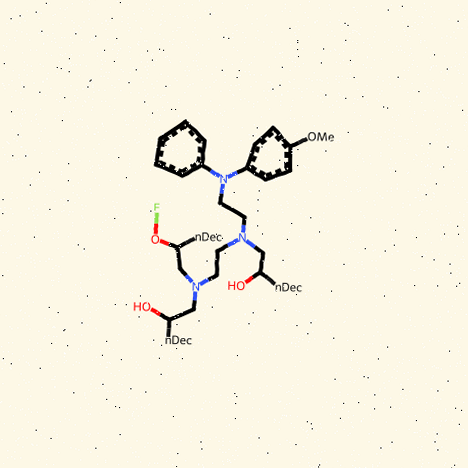 CCCCCCCCCCC(O)CN(CCN(CC(O)CCCCCCCCCC)CC(CCCCCCCCCC)OF)CCN(c1ccccc1)c1ccc(OC)cc1